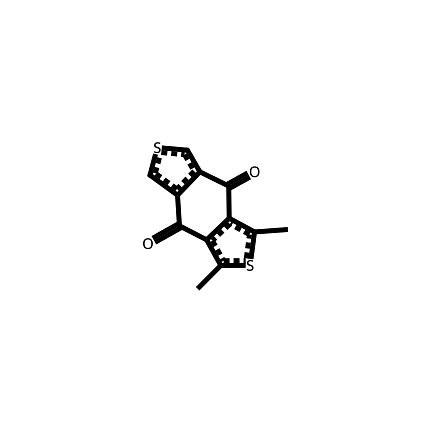 Cc1sc(C)c2c1C(=O)c1cscc1C2=O